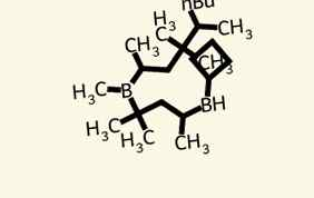 CCCCC(C)C(C)(C)CC(C)B(C)C(C)(C)CC(C)BC1CCC1